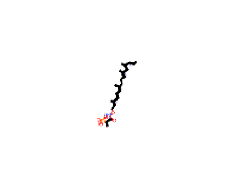 C/C=C/C(C)C/C(C)=C/CC/C(C)=C/CC/C(C)=C/CONC(=O)C(C)P(=O)(O)O